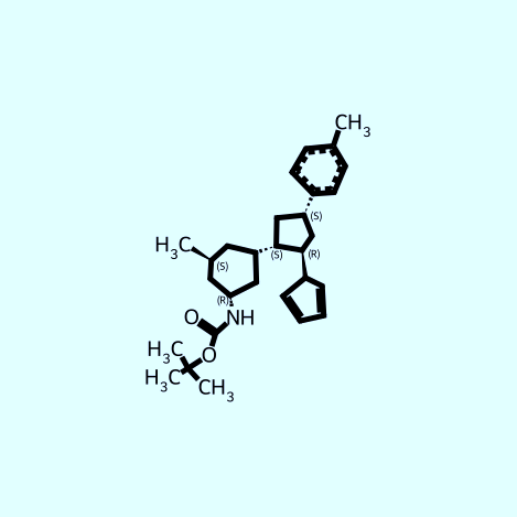 Cc1ccc([C@@H]2C[C@@H](C3C=CC=C3)[C@H](C3C[C@H](C)C[C@@H](NC(=O)OC(C)(C)C)C3)C2)cc1